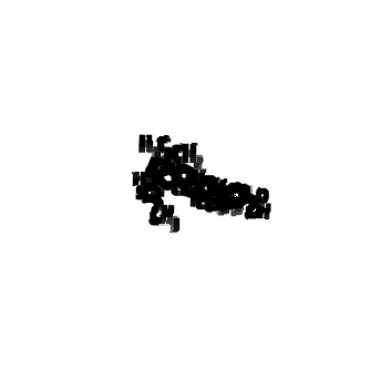 C=C(C)[C@@H]1CC[C@]2(Nc3nc(CC)cs3)CC[C@]3(C)[C@H](CC[C@@H]4[C@@]5(C)CC=C(c6ccc(C(=O)O)cc6)C(C)(C)[C@@H]5CC[C@]43C)[C@@H]12